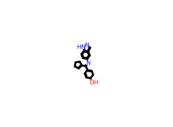 OC1C=CC(/C(=N/c2ccc3[nH]ncc3c2)C2=CCCC2)=CC1